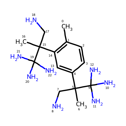 Cc1ccc(C(C)(CN)C(N)(N)N)cc1C(C)(CN)C(N)(N)N